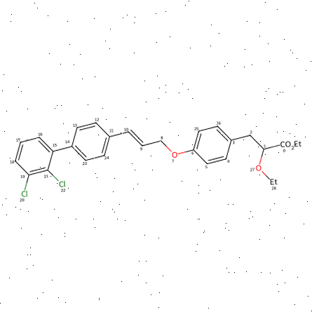 CCOC(=O)C(Cc1ccc(OCC=Cc2ccc(-c3cccc(Cl)c3Cl)cc2)cc1)OCC